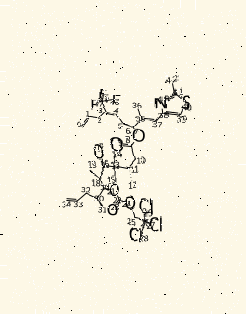 C=CC/C(=C\C[C@H](OC(=O)C[C@H](C)C(C)(C)C(=O)[C@H](C)[C@@H](OC(=O)OCC(Cl)(Cl)Cl)[C@@H](C)CC=C)/C(C)=C/c1csc(C)n1)C(F)(F)F